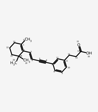 CC1=C(C=CC#Cc2cccc(CCC(=O)O)c2)C(C)(C)CCC1